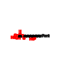 CCCCCC=CC=CC(CCCCCCCC(=O)OC[C@H](O)COP(=O)(O)O)OO